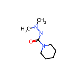 CN(C)[N]C(=O)N1CCCCC1